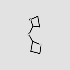 C1CC(OC2CCO2)O1